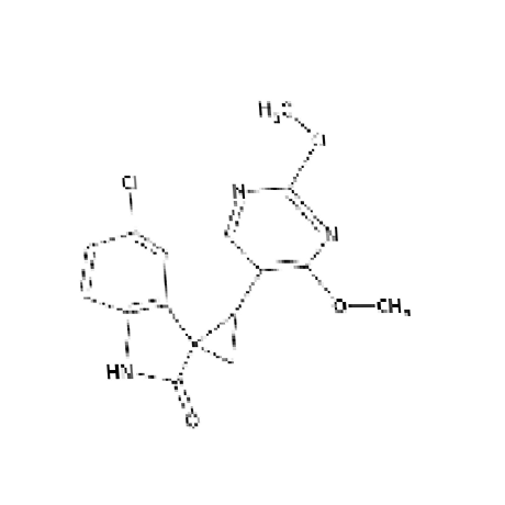 COc1ncc(C2CC23C(=O)Nc2ccc(Cl)cc23)c(OC)n1